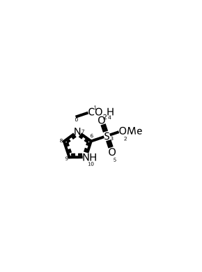 CC(=O)O.COS(=O)(=O)c1ncc[nH]1